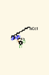 [CH2]CCCCCCC/C=C\CCCCCCCCC(Cc1ccncc1)c1nc(C(C)C)c(Sc2cc(Cl)cc(Cl)c2)[nH]1